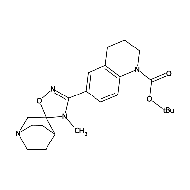 CN1C(c2ccc3c(c2)CCCN3C(=O)OC(C)(C)C)=NOC12CN1CCC2CC1